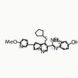 CCc1cc(O)ccc1/N=C(\N)c1cnn2cc(-c3ccc(OC)nc3)cc2c1SC1CCCC1